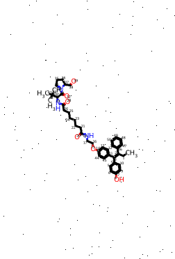 CC/C(=C(\c1ccc(O)cc1)c1ccc(OCCNC(=O)CCCCCCC(=O)NC(C(=O)N2CCCC2C=O)C(C)(C)C)cc1)c1ccccc1